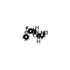 Cn1c(Nc2c[nH]c3ccc(Cl)nc23)nc2cc(F)c(Oc3ccccc3)cc21